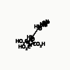 O=C(O)CC1CCN(CC(=O)O)CCN(CC(=O)O)CCN(CC(=O)NCCCCCCCCCCC(=O)Nc2ccc(-c3nnc(-c4ccccn4)nn3)nc2)CC1